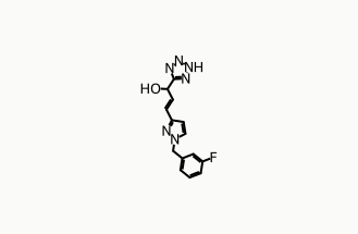 OC(C=Cc1ccn(Cc2cccc(F)c2)n1)c1nn[nH]n1